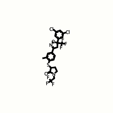 Cc1cc(C2=NOC(c3cc(Cl)cc(Cl)c3)(C(F)(F)F)C2)ccc1SC1CCN(CC(F)(F)F)C1=O